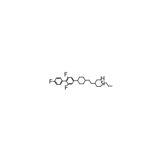 CCC[SiH]1CCC(CCC2CCC(c3cc(F)c(-c4ccc(F)cc4)c(F)c3)CC2)CC1